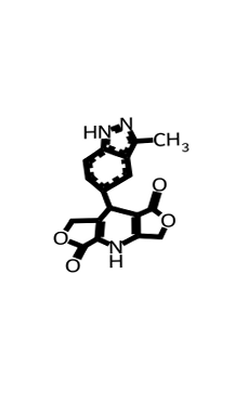 Cc1n[nH]c2ccc(C3C4=C(NC5=C3C(=O)OC5)C(=O)OC4)cc12